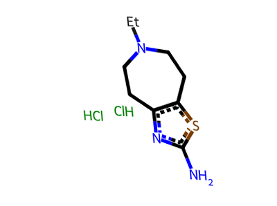 CCN1CCc2nc(N)sc2CC1.Cl.Cl